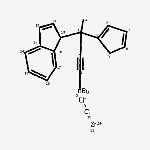 CCCCC#CC(C)(C1=CC=CC1)C1C=Cc2ccccc21.[Cl-].[Cl-].[Zr+2]